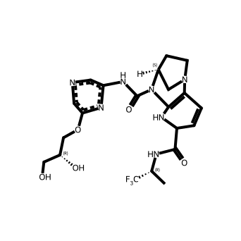 C[C@@H](NC(=O)C1C=CC2=C(N1)N(C(=O)Nc1cncc(OC[C@H](O)CO)n1)[C@H]1CCN2C1)C(F)(F)F